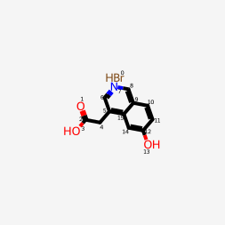 Br.O=C(O)Cc1cncc2ccc(O)cc12